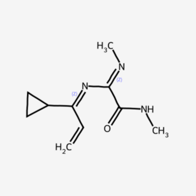 C=C/C(=N\C(=N/C)C(=O)NC)C1CC1